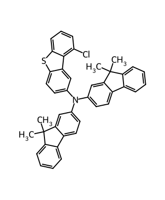 CC1(C)c2ccccc2-c2ccc(N(c3ccc4c(c3)C(C)(C)c3ccccc3-4)c3ccc4sc5cccc(Cl)c5c4c3)cc21